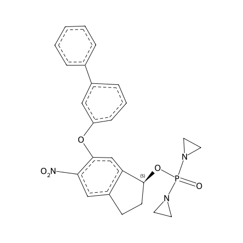 O=[N+]([O-])c1cc2c(cc1Oc1cccc(-c3ccccc3)c1)[C@@H](OP(=O)(N1CC1)N1CC1)CC2